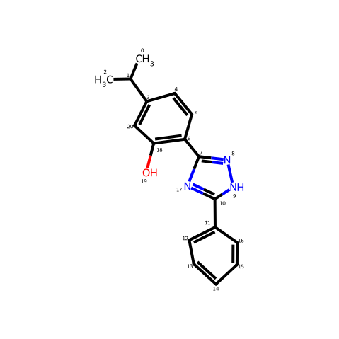 CC(C)c1ccc(-c2n[nH]c(-c3ccccc3)n2)c(O)c1